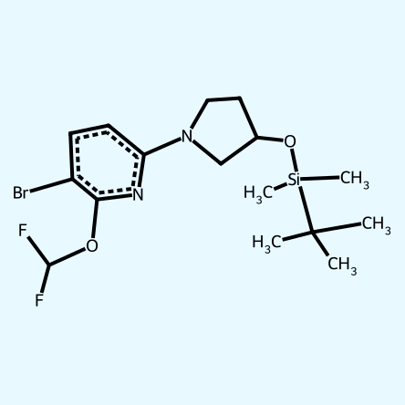 CC(C)(C)[Si](C)(C)OC1CCN(c2ccc(Br)c(OC(F)F)n2)C1